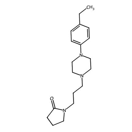 CCc1ccc(N2CCN(CCCN3CCCC3=O)CC2)cc1